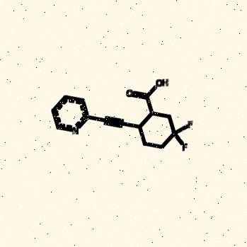 O=C(O)C1CC(F)(F)CCC1C#Cc1ccccn1